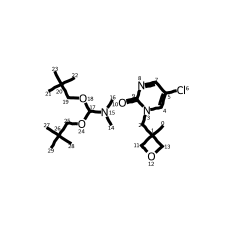 CC1(Cn2cc(Cl)cnc2=O)COC1.CN(C)C(OCC(C)(C)C)OCC(C)(C)C